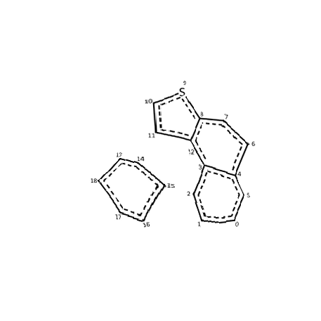 c1ccc2c(c1)ccc1sccc12.c1ccccc1